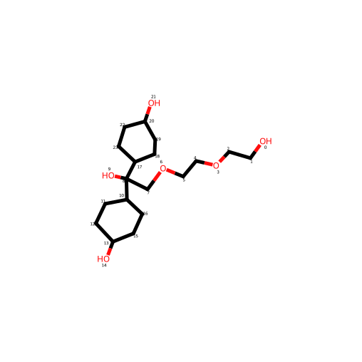 OCCOCCOCC(O)(C1CCC(O)CC1)C1CCC(O)CC1